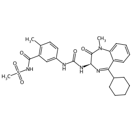 Cc1ccc(NC(=O)N[C@@H]2N=C(C3CCCCC3)c3ccccc3N(C)C2=O)cc1C(=O)NS(C)(=O)=O